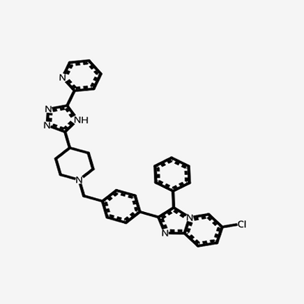 Clc1ccc2nc(-c3ccc(CN4CCC(c5nnc(-c6ccccn6)[nH]5)CC4)cc3)c(-c3ccccc3)n2c1